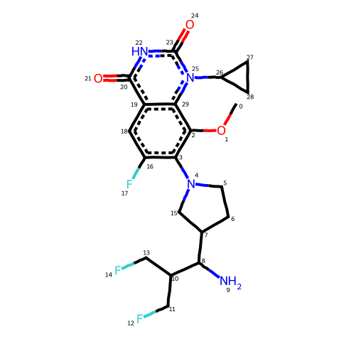 COc1c(N2CCC(C(N)C(CF)CF)C2)c(F)cc2c(=O)[nH]c(=O)n(C3CC3)c12